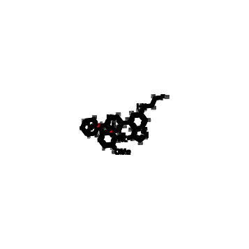 COc1ccc(CN2C3CC2CN(c2ccc(-c4cc(NCCF)cn5ncc(C#N)c45)cn2)C3)c(F)c1F